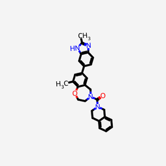 Cc1nc2ccc(-c3cc(C)c4c(c3)CN(C(=O)N3CCc5ccccc5C3)CCO4)cc2[nH]1